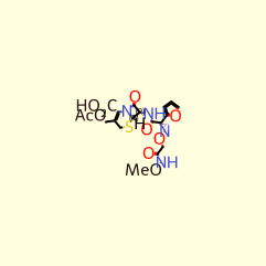 CONC(=O)CO/N=C(\C(=O)N[C@@H]1C(=O)N2C(C(=O)O)=C(COC(C)=O)CS[C@H]12)c1ccco1